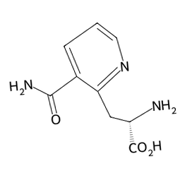 NC(=O)c1cccnc1C[C@H](N)C(=O)O